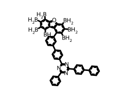 Bc1c(B)c(B)c2c(oc3c(B)c(B)c(B)c(-c4cccc(-c5ccc(-c6nc(-c7ccccc7)nc(-c7ccc(-c8ccccc8)cc7)n6)cc5)c4)c32)c1B